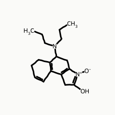 CCCN(CCC)C1CC2=C(CC(O)=[N+]2[O-])C2=C1CCC=C2